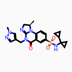 C[C@@H]1CN=C2N(Cc3cnn(C)c3)C(=O)c3cc(S(=O)(=O)NC4(C5CC5)CC4)ccc3N21